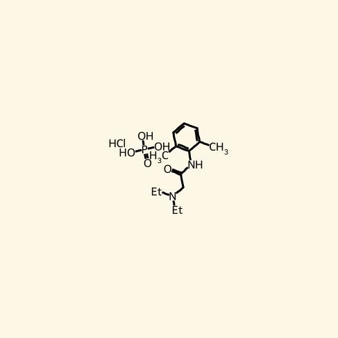 CCN(CC)CC(=O)Nc1c(C)cccc1C.Cl.O=P(O)(O)O